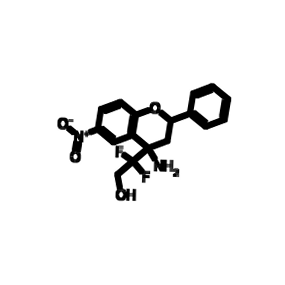 NC1(C(F)(F)CO)CC(c2ccccc2)Oc2ccc([N+](=O)[O-])cc21